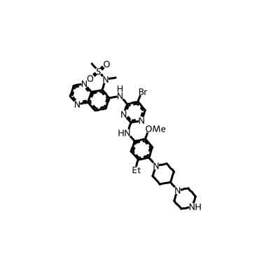 CCc1cc(Nc2ncc(Br)c(Nc3ccc4nccnc4c3N(C)S(C)(=O)=O)n2)c(OC)cc1N1CCC(N2CCNCC2)CC1